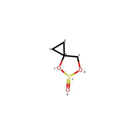 O=S1OCC2(CC2)O1